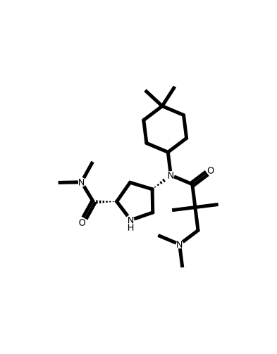 CN(C)CC(C)(C)C(=O)N(C1CCC(C)(C)CC1)[C@@H]1CN[C@H](C(=O)N(C)C)C1